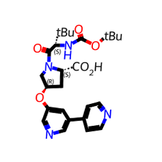 CC(C)(C)OC(=O)N[C@H](C(=O)N1C[C@H](Oc2cncc(-c3ccncc3)c2)C[C@H]1C(=O)O)C(C)(C)C